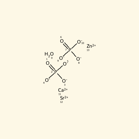 O.O=P([O-])([O-])[O-].O=P([O-])([O-])[O-].[Ca+2].[Sr+2].[Zn+2]